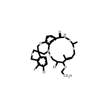 CCC1CCN2CC3(CCCc4c3ccc(Cl)c4F)COc3ccc(cc32)C(=O)NSC(C)CC/C=C(\C)C1OCC(=O)O